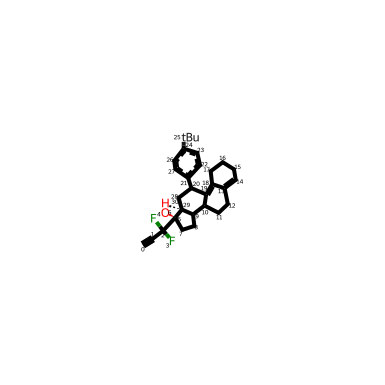 C#CC(F)(F)[C@]1(O)CCC2C3CCC4=CCCCC4=C3C(c3ccc(C(C)(C)C)cc3)C[C@@]21C